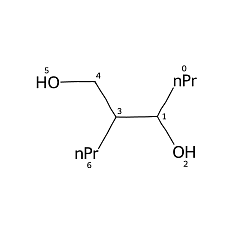 CCCC(O)C(CO)CCC